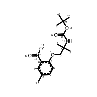 CC(C)(COc1ccc(I)cc1[N+](=O)[O-])NC(=O)OC(C)(C)C